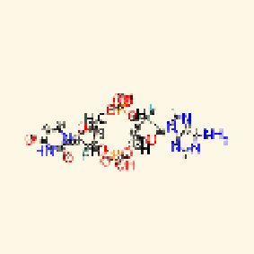 Nc1ncnc2c1ncn2[C@@H]1O[C@@H]2COP(=O)(O)O[C@H]3[C@@H](F)[C@H](n4ccc(=O)[nH]c4=O)O[C@@H]3COP(=O)(O)O[C@H]2[C@H]1F